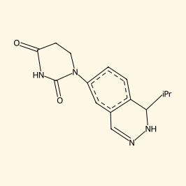 CC(C)C1NN=Cc2cc(N3CCC(=O)NC3=O)ccc21